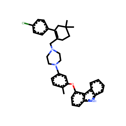 Cc1ccc(N2CCN(CC3=C(c4ccc(Cl)cc4)CC(C)(C)CC3)CC2)cc1Oc1cccc2[nH]c3ccccc3c12